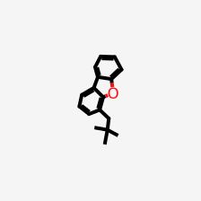 CC(C)(C)Cc1cccc2c1oc1ccccc12